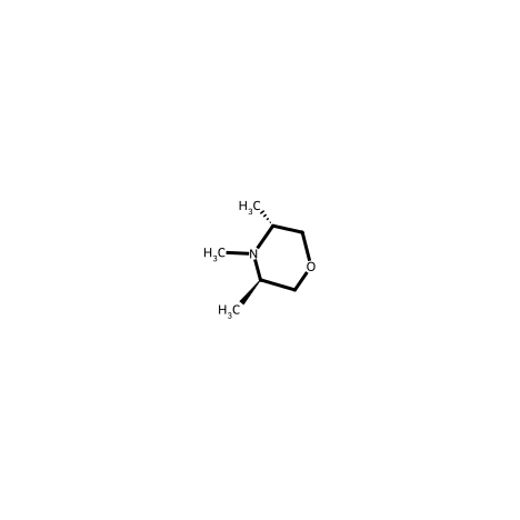 C[C@@H]1COC[C@@H](C)N1C